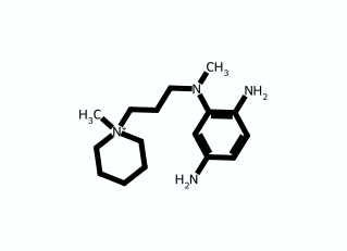 CN(CCC[N+]1(C)CCCCC1)c1cc(N)ccc1N